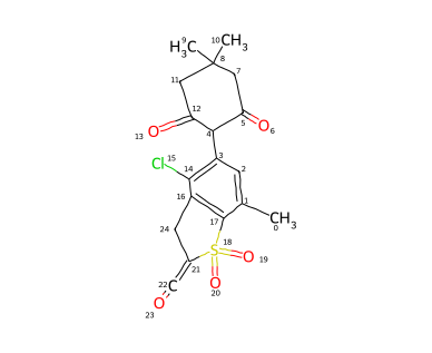 Cc1cc(C2C(=O)CC(C)(C)CC2=O)c(Cl)c2c1S(=O)(=O)C(=C=O)C2